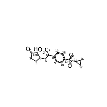 O=C1CCC(CC(C(=O)O)c2ccc(S(=O)(=O)C3CC3)cc2)C1